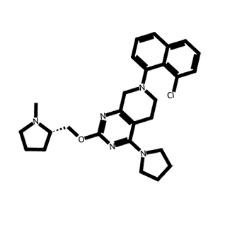 CN1CCC[C@H]1COc1nc2c(c(N3C[CH]CC3)n1)CCN(c1cccc3cccc(Cl)c13)C2